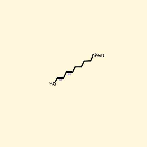 CCCCCCCCC/C=C/C=C/O